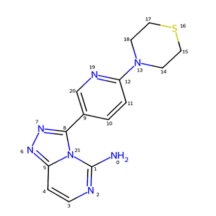 Nc1nccc2nnc(-c3ccc(N4CCSCC4)nc3)n12